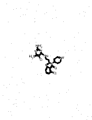 Nc1nc(N)c(Cl)c(NCCc2nc3cccc(Cl)c3c(=O)n2C2CCNCC2)n1